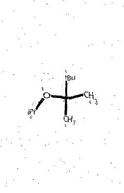 CC(C)OC(C)(C)C(C)(C)C